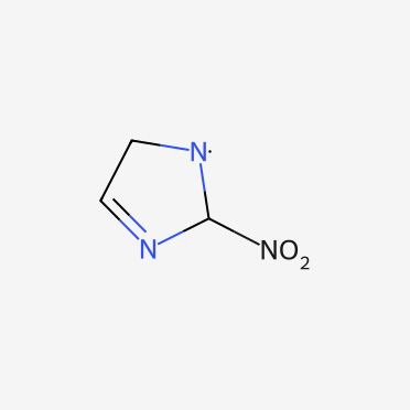 O=[N+]([O-])C1[N]CC=N1